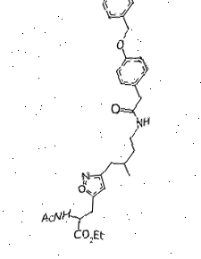 CCOC(=O)C(Cc1cc(CC(C)CCNC(=O)Cc2ccc(OCc3ccccc3)cc2)no1)NC(C)=O